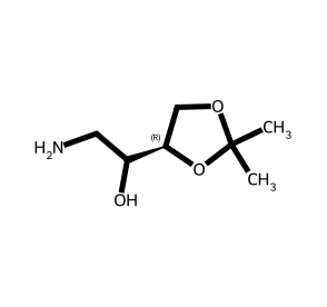 CC1(C)OC[C@H](C(O)CN)O1